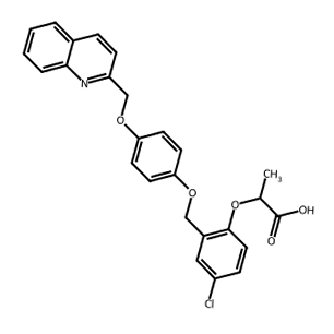 CC(Oc1ccc(Cl)cc1COc1ccc(OCc2ccc3ccccc3n2)cc1)C(=O)O